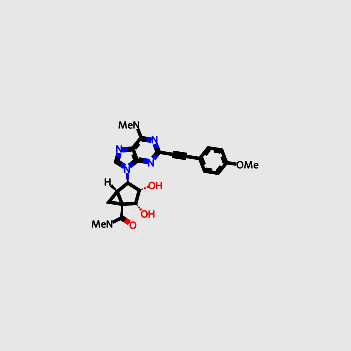 CNC(=O)[C@@]12C[C@@H]1[C@@H](n1cnc3c(NC)nc(C#Cc4ccc(OC)cc4)nc31)[C@H](O)[C@@H]2O